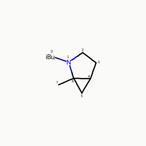 CCC(C)N1CCC2CC21C